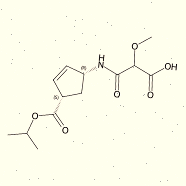 COC(C(=O)O)C(=O)N[C@H]1C=C[C@@H](C(=O)OC(C)C)C1